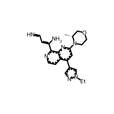 CCn1cc(-c2cc(N3CCOC[C@H]3C)nc3c(/C(N)=C/C=N)nccc23)cn1